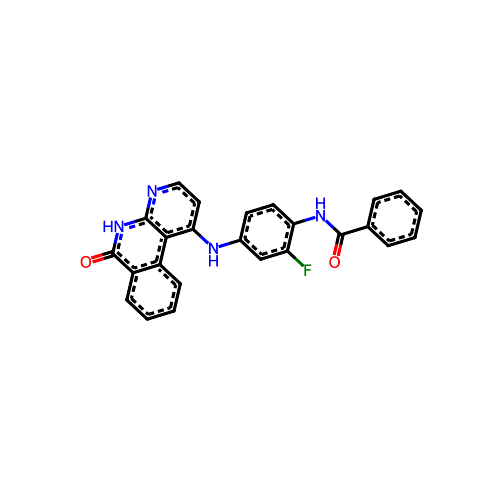 O=C(Nc1ccc(Nc2ccnc3[nH]c(=O)c4ccccc4c23)cc1F)c1ccccc1